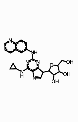 OCC1OC(C2C=Nc3c(NC4CC4)nc(Nc4ccc5ncccc5c4)nc32)C(O)C1O